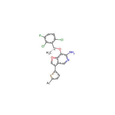 CC(=O)c1ccc(-c2coc3c(O[C@H](C)c4c(Cl)ccc(F)c4Cl)c(N)ncc23)s1